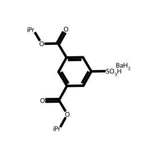 CC(C)OC(=O)c1cc(C(=O)OC(C)C)cc(S(=O)(=O)O)c1.[BaH2]